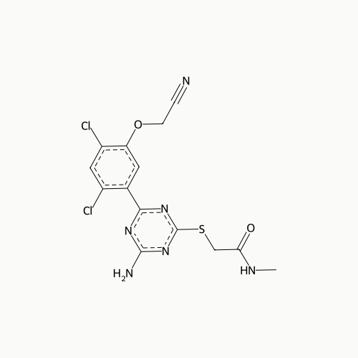 CNC(=O)CSc1nc(N)nc(-c2cc(OCC#N)c(Cl)cc2Cl)n1